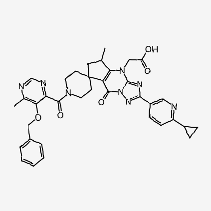 Cc1ncnc(C(=O)N2CCC3(CC2)CC(C)c2c3c(=O)n3nc(-c4ccc(C5CC5)nc4)nc3n2CC(=O)O)c1OCc1ccccc1